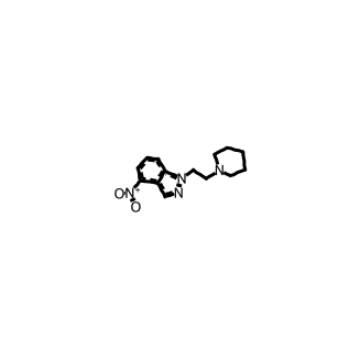 O=[N+]([O-])c1cccc2c1cnn2CCN1CCCCC1